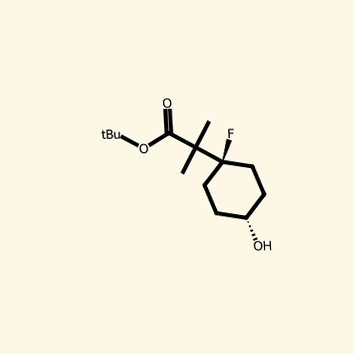 CC(C)(C)OC(=O)C(C)(C)[C@]1(F)CC[C@H](O)CC1